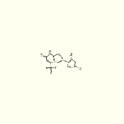 O=c1cc(C(F)(F)F)c2cc(-c3ccc(Cl)cc3Cl)ccc2[nH]1